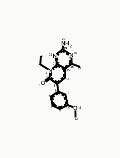 CCn1c(=O)c(-c2cccc(OC)c2)cc2c(C)nc(N)nc21